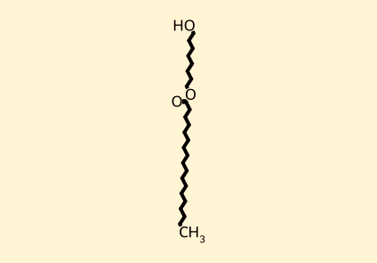 CCCCCCCCCCCCCCCCCC(=O)OCCCCCCCCO